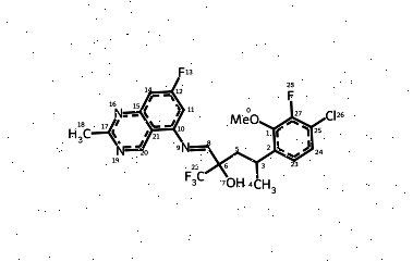 COc1c(C(C)CC(O)(C=Nc2cc(F)cc3nc(C)ncc23)C(F)(F)F)ccc(Cl)c1F